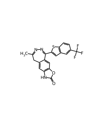 CC1=NN=C(c2cc3cc(C(F)(F)F)ccc3s2)c2cc3oc(=O)[nH]c3cc2C1